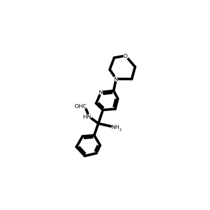 NC(NC=O)(c1c[c]ccc1)c1ccc(N2CCOCC2)nc1